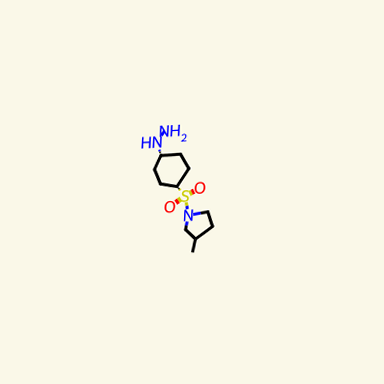 CC1CCN(S(=O)(=O)[C@H]2CC[C@@H](NN)CC2)C1